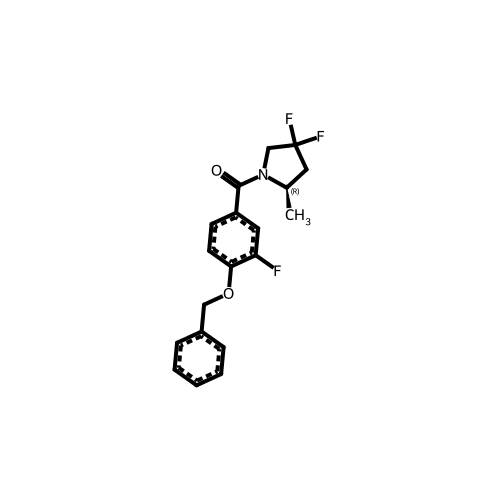 C[C@@H]1CC(F)(F)CN1C(=O)c1ccc(OCc2ccccc2)c(F)c1